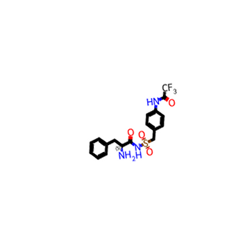 N[C@@H](Cc1ccccc1)C(=O)NS(=O)(=O)Cc1ccc(NC(=O)C(F)(F)F)cc1